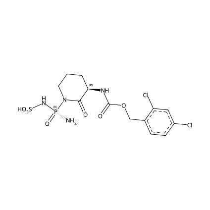 N[P@](=O)(NS(=O)(=O)O)N1CCC[C@@H](NC(=O)OCc2ccc(Cl)cc2Cl)C1=O